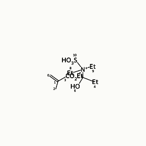 C=C(C)C(=O)OCC.CCC(O)[N+](CC)(CC)S(=O)(=O)O